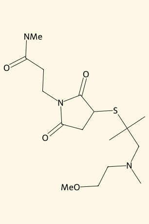 CNC(=O)CCN1C(=O)CC(SC(C)(C)CN(C)CCOC)C1=O